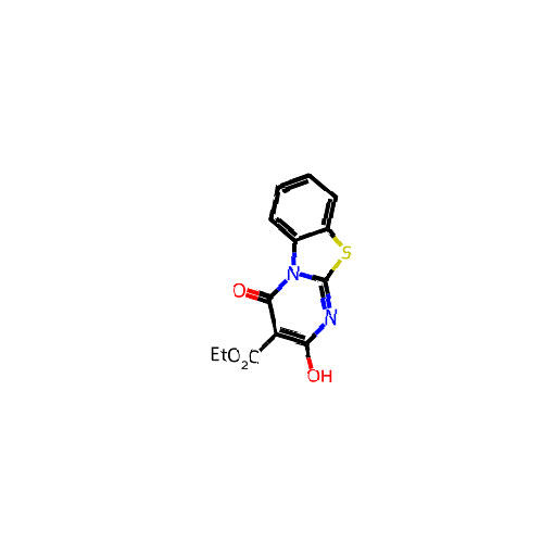 CCOC(=O)c1c(O)nc2sc3ccccc3n2c1=O